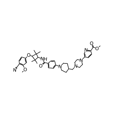 COC(=O)c1ccc(N2CCN(CC3CCN(c4ccc(C(=O)NC5C(C)(C)C(Oc6ccc(C#N)c(OC)c6)C5(C)C)cc4)CC3)CC2)cn1